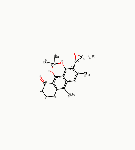 COc1c2c(c3c4c(c([C@H]5O[C@@H]5C=O)c(C)cc14)O[Si](C(C)(C)C)(C(C)(C)C)O3)C(=O)CCC2